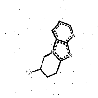 NC1CCc2nc3ncccc3n2C1